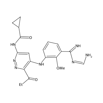 CCC(=O)c1nnc(NC(=O)C2CC2)cc1Nc1cccc(C(=N)/N=C\N)c1OC